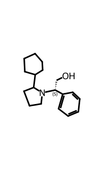 OC[C@H](c1ccccc1)N1CCCC1C1CCCCC1